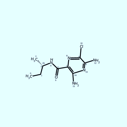 CC[C@H](C)NC(=O)c1nc(Cl)c(N)nc1N